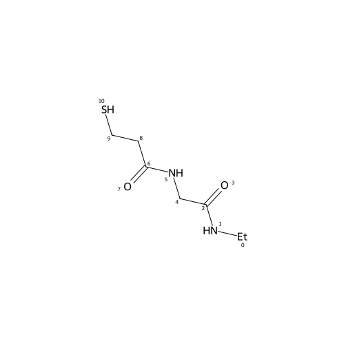 CCNC(=O)CNC(=O)CCS